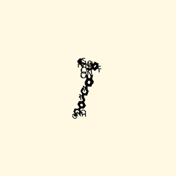 CN(Cc1ccc(C2CCC(=O)NC2=O)cc1)C1CCN(c2ccc3c(c2)C(=O)N(C(C(=O)Nc2nccs2)c2cc(F)ccc2O)C3)CC1